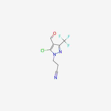 N#CCCn1nc(C(F)(F)F)c(C=O)c1Cl